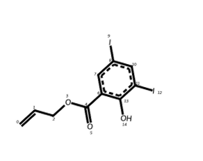 C=CCOC(=O)c1cc(I)cc(I)c1O